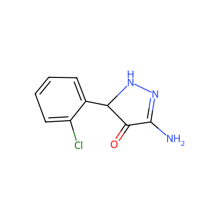 NC1=NNC(c2ccccc2Cl)C1=O